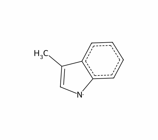 CC1=C[N]c2ccccc21